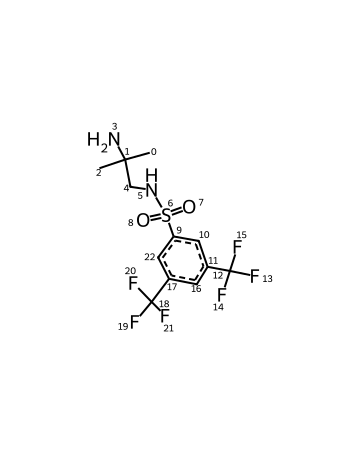 CC(C)(N)CNS(=O)(=O)c1cc(C(F)(F)F)cc(C(F)(F)F)c1